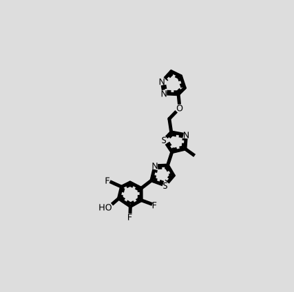 Cc1nc(COc2cccnn2)sc1-c1csc(-c2cc(F)c(O)c(F)c2F)n1